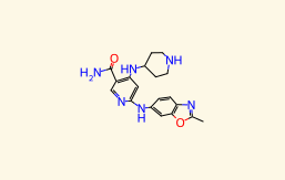 Cc1nc2ccc(Nc3cc(NC4CCNCC4)c(C(N)=O)cn3)cc2o1